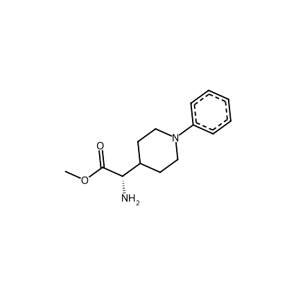 COC(=O)[C@@H](N)C1CCN(c2ccccc2)CC1